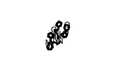 O=C(Cc1ccccc1)Nc1cccc(-c2nc3ccccn3c2-c2ccnc(Nc3cccc(N4CCOCC4)c3)n2)c1